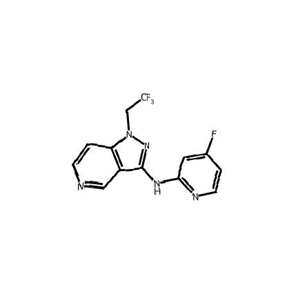 Fc1ccnc(Nc2nn(CC(F)(F)F)c3ccncc23)c1